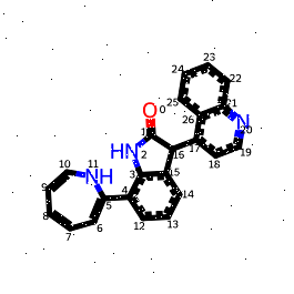 O=C1Nc2c(C3=CC=CC=CN3)cccc2C1c1ccnc2ccccc12